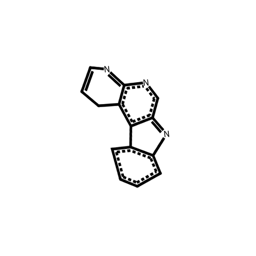 C1=CN=c2ncc3c(c2C1)-c1ccccc1N=3